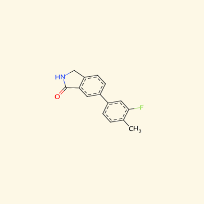 Cc1ccc(-c2ccc3c(c2)C(=O)NC3)cc1F